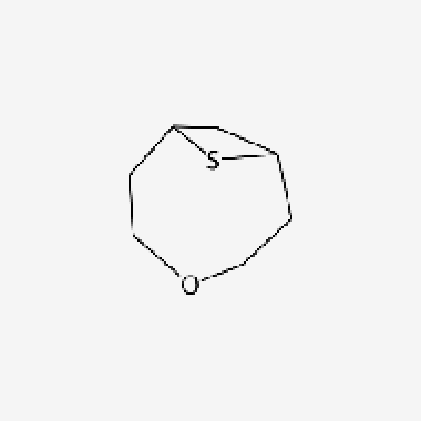 C1CC2CC(CCO1)S2